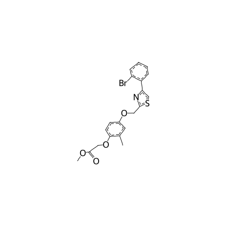 COC(=O)COc1ccc(OCc2nc(-c3ccccc3Br)cs2)cc1C